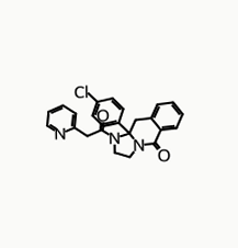 O=C(Cc1ccccn1)N1CCN2C(=O)c3ccccc3CC12c1ccc(Cl)cc1